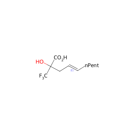 CCCCC/C=C/CC(O)(C(=O)O)C(F)(F)F